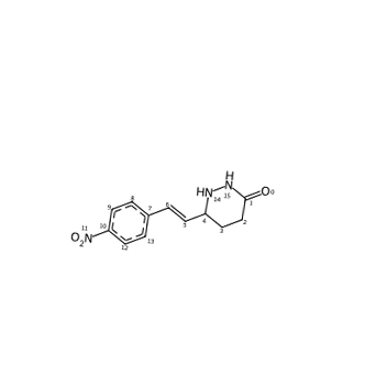 O=C1CCC(/C=C/c2ccc([N+](=O)[O-])cc2)NN1